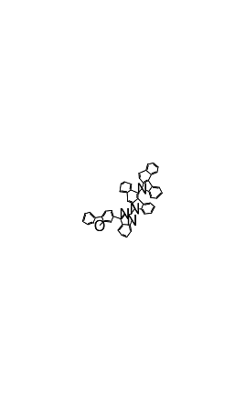 c1ccc2c(-n3c4ccccc4c4c5ccccc5ccc43)c3c4ccccc4n(-c4nc(-c5ccc6c(c5)oc5ccccc56)c5ccccc5n4)c3cc2c1